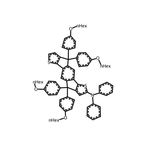 CCCCCCOc1ccc(C2(c3ccc(OCCCCCC)cc3)c3cc4c(cc3-c3sccc32)C(c2ccc(OCCCCCC)cc2)(c2ccc(OCCCCCC)cc2)c2cc(N(c3ccccc3)c3ccccc3)sc2-4)cc1